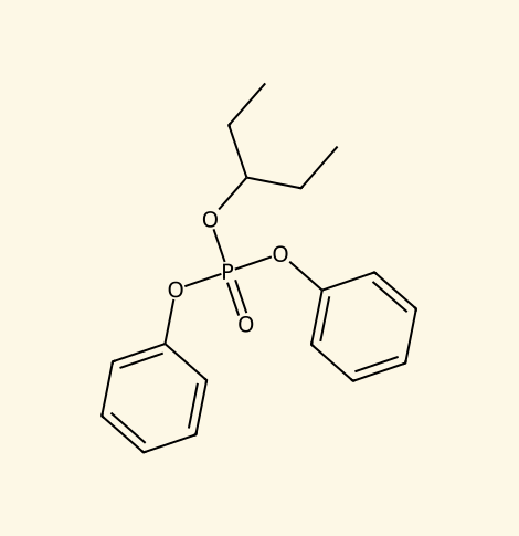 CCC(CC)OP(=O)(Oc1ccccc1)Oc1ccccc1